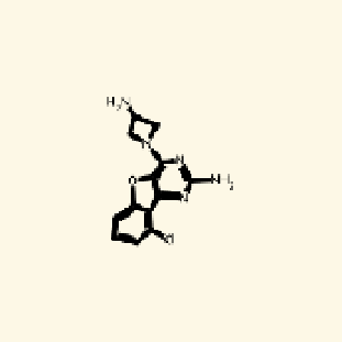 Nc1nc(N2CC(N)C2)c2oc3cccc(Cl)c3c2n1